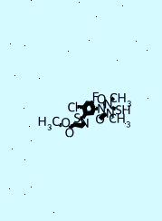 CCOC(=O)c1cnc(-c2cc(N3C(=O)N(C)C(S)N(C)C3=O)c(F)cc2Cl)s1